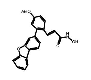 COc1ccc(/C=C/C(=O)NO)c(-c2ccc3c(c2)oc2ccccc23)c1